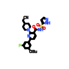 CC(C)COc1cc(F)cc(-c2ccc(C(=O)NS(=O)(=O)c3ccn[nH]3)c(N3CCC(CC#N)CC3)n2)c1